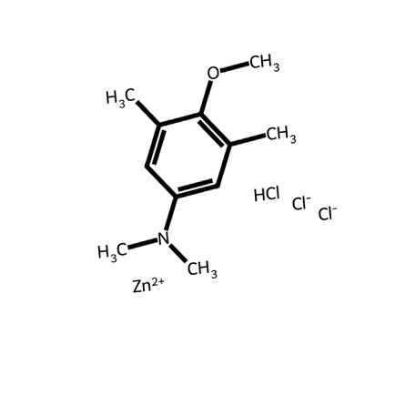 COc1c(C)cc(N(C)C)cc1C.Cl.[Cl-].[Cl-].[Zn+2]